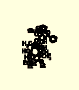 CCO[C@@H]1CC(O[Si](CC)(CC)CC)[C@@]2(C)C(=O)[C@H](O)C3=C(C)[C@@H](OC(=O)[C@H](O[Si](C)(C)C(C)(C)C)[C@@H](NC(=O)c4ccccc4)c4ccccc4)C[C@@](O)([C@@H](C)[C@@H]2[C@H]1C)C3(C)C